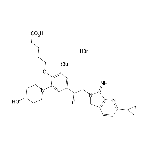 Br.CC(C)(C)c1cc(C(=O)CN2Cc3ccc(C4CC4)nc3C2=N)cc(N2CCC(O)CC2)c1OCCCCC(=O)O